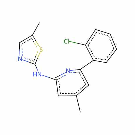 Cc1cc(Nc2ncc(C)s2)nc(-c2ccccc2Cl)c1